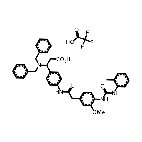 COc1cc(CC(=O)Nc2ccc(C(CC(=O)O)N(Cc3ccccc3)Cc3ccccc3)cc2)ccc1NC(=O)Nc1ccccc1C.O=C(O)C(F)(F)F